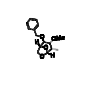 CO[C@@H]1[C@H](C)[C@@H]2OC[C@@H](O2)[C@H]1OCc1ccccc1